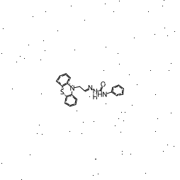 O=C(N/N=C/CN1c2ccccc2Sc2ccccc21)Nc1ccccc1